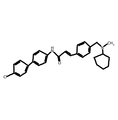 CN(Cc1ccc(/C=C/C(=O)Nc2ccc(-c3ccc(Cl)cc3)cc2)cc1)C1CCCCC1